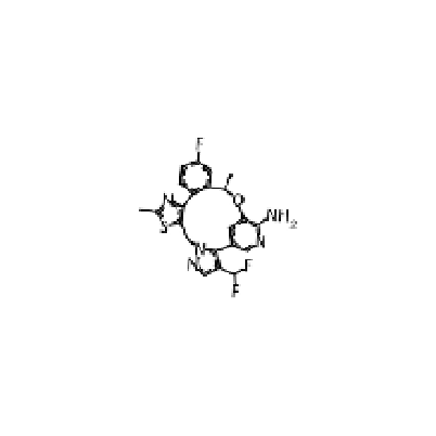 Cc1nc2c(s1)Cn1ncc(C(F)F)c1-c1cnc(N)c(c1)O[C@H](C)c1cc(F)ccc1-2